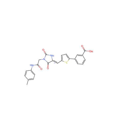 Cc1ccc(NC(=O)CN2C(=O)N/C(=C\c3ccc(-c4cccc(C(=O)O)c4)s3)C2=O)cc1